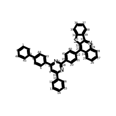 c1ccc(-c2ccc(-c3cc(-c4ccccc4)nc(-c4ccc(-c5c6ccccc6nc6c5sc5ccccc56)cc4)n3)cc2)cc1